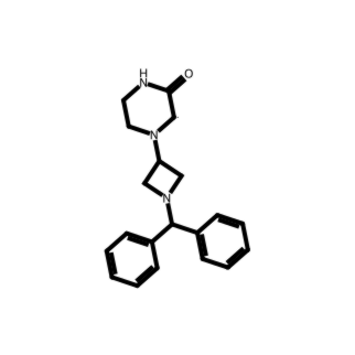 O=C1[CH]N(C2CN(C(c3ccccc3)c3ccccc3)C2)CCN1